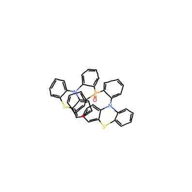 O=P(c1ccccc1)(c1ccccc1N1c2ccccc2Sc2ccccc21)c1ccccc1N1c2ccccc2Sc2ccccc21